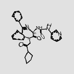 O=C(Nc1cccnc1)N[C@@H]1N=C(c2ccccc2)c2ccccc2N(CC(=O)C2CCCC2)C1=O